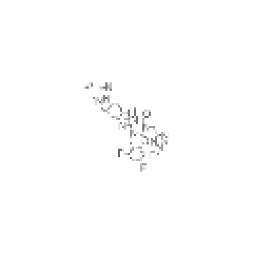 Cn1cnc(Cn2c(=O)[nH]/c(=N\c3cc4cn(CC5(C#N)CC5)nc4cc3Cl)n(Cc3cc(F)c(F)cc3F)c2=O)n1